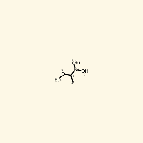 CCCCN(O)C(C)OCC